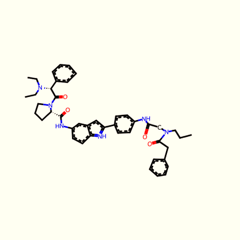 CCCN(CC(=O)Nc1ccc(-c2cc3cc(NC(=O)[C@@H]4CCCN4C(=O)[C@@H](c4ccccc4)N(CC)CC)ccc3[nH]2)cc1)C(=O)Cc1ccccc1